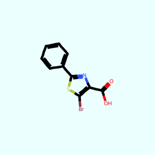 O=C(O)c1nc(-c2ccccc2)sc1Br